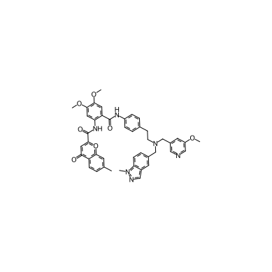 COc1cncc(CN(CCc2ccc(NC(=O)c3cc(OC)c(OC)cc3NC(=O)c3cc(=O)c4ccc(C)cc4o3)cc2)Cc2ccc3c(cnn3C)c2)c1